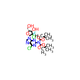 CC(C)(C)OC(=O)N(C(=O)OC(C)(C)C)c1nc(Cl)c2ncn([C@@H]3O[C@H](CO)[C@H](O)C3(F)Cl)c2n1